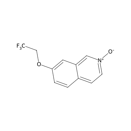 [O-][n+]1ccc2ccc(OCC(F)(F)F)cc2c1